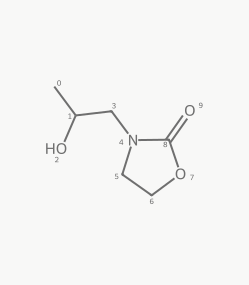 CC(O)CN1CCOC1=O